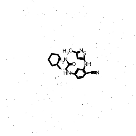 Cc1cc(Nc2cc(N[C@H](CC3CCCCC3)C(N)=O)ccc2C#N)sn1